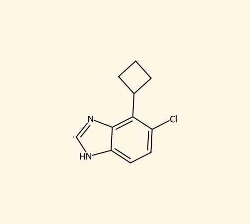 Clc1ccc2[nH][c]nc2c1C1CCC1